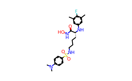 Cc1cc(N[C@H](CCCCNS(=O)(=O)c2ccc(N(C)C)cc2)C(=O)NO)cc(C)c1F